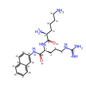 N=C(N)NCCC[C@H](NC(=O)[C@@H](N)CCCCN)C(=O)Nc1ccc2ccccc2c1